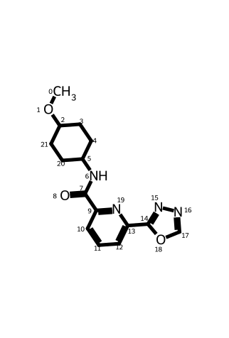 COC1CCC(NC(=O)c2cccc(-c3nnco3)n2)CC1